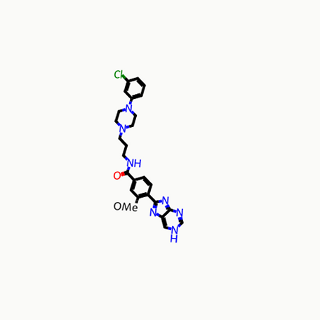 COc1cc(C(=O)NCCCN2CCN(c3cccc(Cl)c3)CC2)ccc1-c1nc2c[nH]cnc-2n1